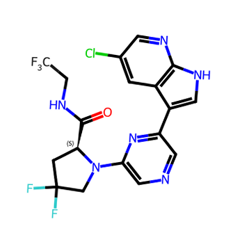 O=C(NCC(F)(F)F)[C@@H]1CC(F)(F)CN1c1cncc(-c2c[nH]c3ncc(Cl)cc23)n1